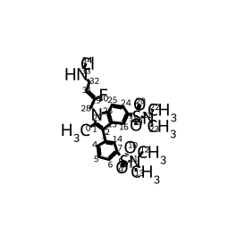 Cc1c(-c2cccc(S(=O)(=O)N(C)C)c2)c2cc(S(=O)(=O)N(C)C)ccc2n1C/C(F)=C/CNCl